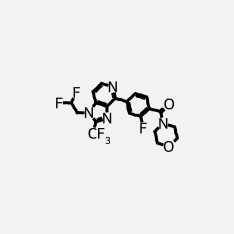 O=C(c1ccc(-c2nccc3c2nc(C(F)(F)F)n3CC(F)F)cc1F)N1CCOCC1